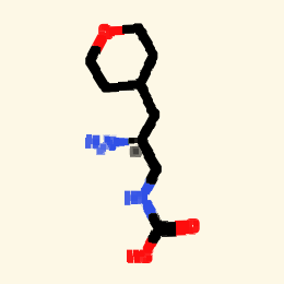 N[C@@H](CNC(=O)O)CC1CCOCC1